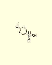 COc1ccc([PH](=O)S)cc1